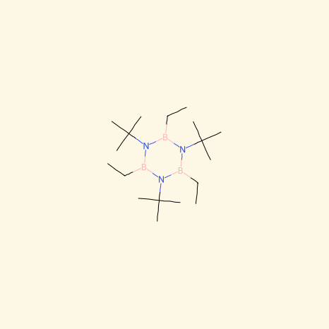 CCB1N(C(C)(C)C)B(CC)N(C(C)(C)C)B(CC)N1C(C)(C)C